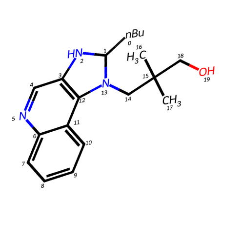 CCCCC1Nc2cnc3ccccc3c2N1CC(C)(C)CO